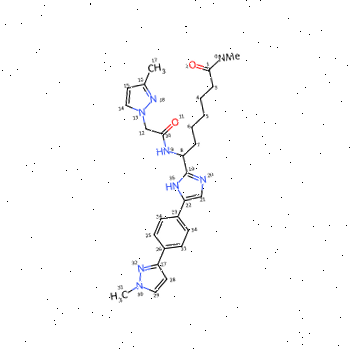 CNC(=O)CCCCCC(NC(=O)Cn1ccc(C)n1)c1ncc(-c2ccc(-c3ccn(C)n3)cc2)[nH]1